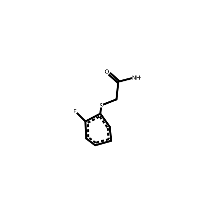 [NH]C(=O)CSc1ccccc1F